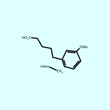 CCCCCCC.COc1cccc(CCCCC(=O)O)c1